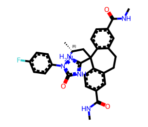 CNC(=O)c1ccc2c(c1)CCc1cc(C(=O)NC)ccc1C2(C[C@@H](C)N)c1nn(-c2ccc(F)cc2)c(=O)[nH]1